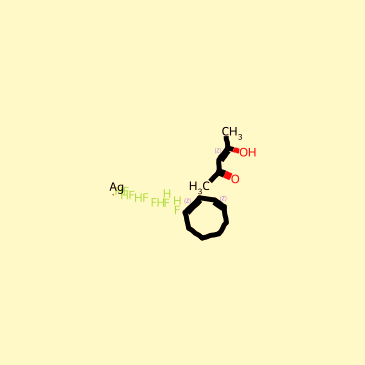 C1=C\CCCC\C=C/1.CC(=O)/C=C(/C)O.F.F.F.F.F.F.[Ag]